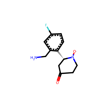 NCc1cc(F)ccc1[C@H]1CC(=O)CCN1[O]